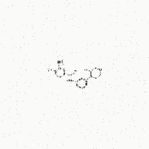 Nc1cc(C(=O)Nc2cccc(N3CCOCC3F)c2)ccc1Cl